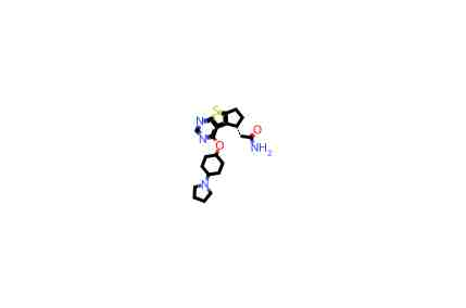 NC(=O)C[C@H]1CCc2sc3ncnc(OC4CCC(N5CCCC5)CC4)c3c21